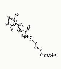 COCCOCCCNC(=O)CCN1C(=O)C=CC1=O